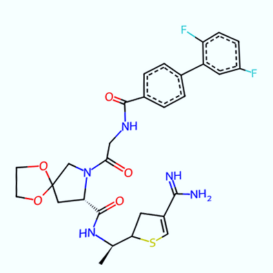 C[C@@H](NC(=O)[C@@H]1CC2(CN1C(=O)CNC(=O)c1ccc(-c3cc(F)ccc3F)cc1)OCCO2)C1CC(C(=N)N)=CS1